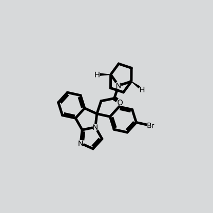 O=C(CC1(c2ccc(Br)cc2)c2ccccc2-c2nccn21)N1[C@H]2CC[C@@H]1CC2